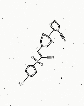 Cc1ccc(S(=O)(=O)C(C#N)=Cc2ccc(-c3sccc3C#N)cc2)cc1